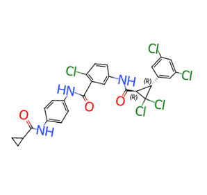 O=C(Nc1ccc(NC(=O)C2CC2)cc1)c1cc(NC(=O)[C@H]2[C@H](c3cc(Cl)cc(Cl)c3)C2(Cl)Cl)ccc1Cl